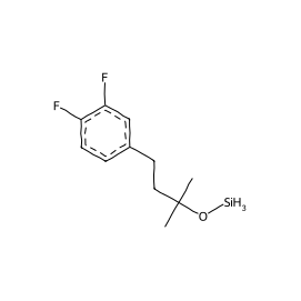 CC(C)(CCc1ccc(F)c(F)c1)O[SiH3]